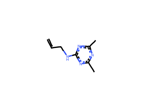 C=CCNc1nc(C)nc(C)n1